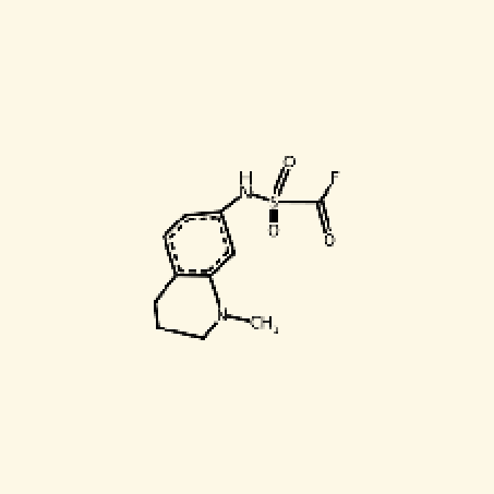 CN1CCCc2ccc(NS(=O)(=O)C(=O)F)cc21